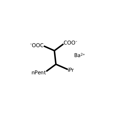 CCCCCC(C(C)C)C(C(=O)[O-])C(=O)[O-].[Ba+2]